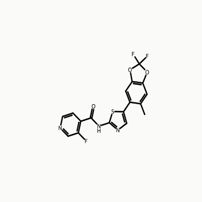 Cc1cc2c(cc1-c1cnc(NC(=O)c3ccncc3F)s1)OC(F)(F)O2